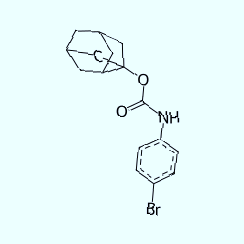 O=C(Nc1ccc(Br)cc1)OC12CC3CC(CC1C3)C2